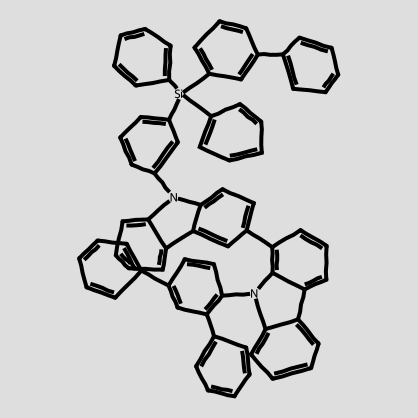 c1ccc(-c2cccc([Si](c3ccccc3)(c3ccccc3)c3cccc(-n4c5ccccc5c5cc(-c6cccc7c8ccccc8n(-c8ccc(-c9ccccc9)cc8-c8ccccc8)c67)ccc54)c3)c2)cc1